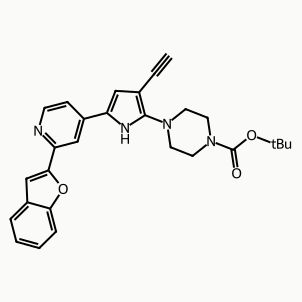 C#Cc1cc(-c2ccnc(-c3cc4ccccc4o3)c2)[nH]c1N1CCN(C(=O)OC(C)(C)C)CC1